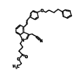 CCOC(=O)CCCn1cc(CC#N)c2c(C=Cc3ccc(OCCCCc4ccccc4)cc3)cccc21